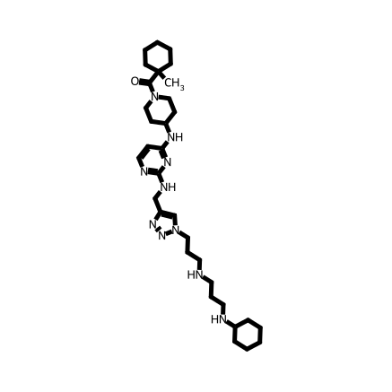 CC1(C(=O)N2CCC(Nc3ccnc(NCc4cn(CCCNCCCNC5CCCCC5)nn4)n3)CC2)CCCCC1